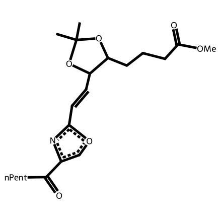 CCCCCC(=O)c1coc(/C=C/C2OC(C)(C)OC2CCCC(=O)OC)n1